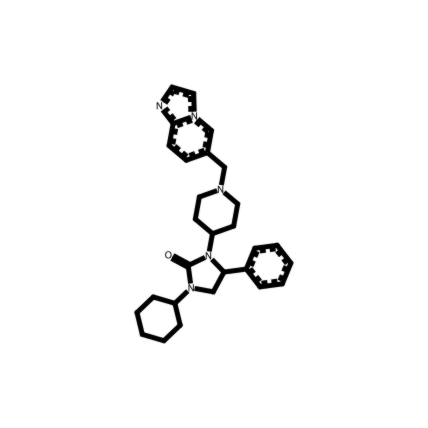 O=C1N(C2CCCCC2)CC(c2ccccc2)N1C1CCN(Cc2ccc3nccn3c2)CC1